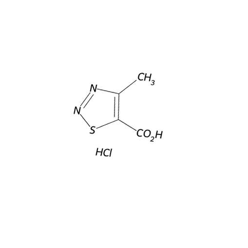 Cc1nnsc1C(=O)O.Cl